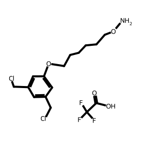 NOCCCCCCOc1cc(CCl)cc(CCl)c1.O=C(O)C(F)(F)F